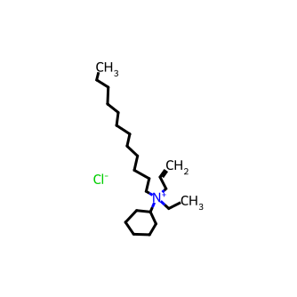 C=CC[N+](CC)(CCCCCCCCCCCC)C1CCCCC1.[Cl-]